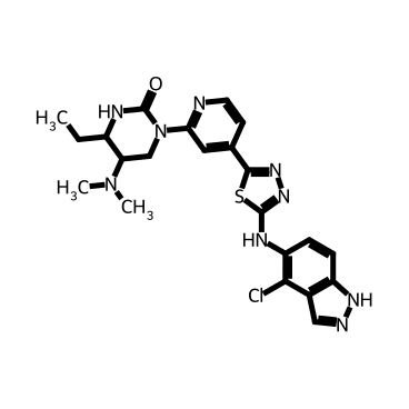 CCC1NC(=O)N(c2cc(-c3nnc(Nc4ccc5[nH]ncc5c4Cl)s3)ccn2)CC1N(C)C